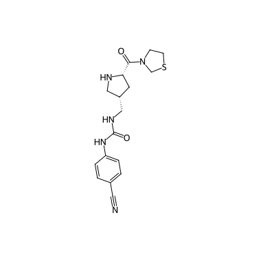 N#Cc1ccc(NC(=O)NC[C@@H]2CN[C@H](C(=O)N3CCSC3)C2)cc1